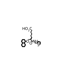 O=C(O)CCCC/C=C(\COc1cccc2ccccc12)C(=O)NCc1cccs1